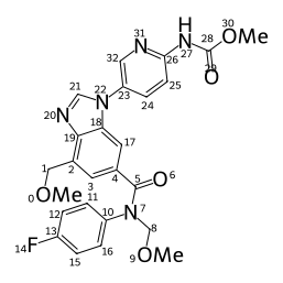 COCc1cc(C(=O)N(COC)c2ccc(F)cc2)cc2c1ncn2-c1ccc(NC(=O)OC)nc1